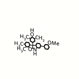 COc1cccc(-c2ccc3c(c2)NC(=O)C3(c2ccc(C)c(C)c2)c2cc(C)c(O)c(C)c2)c1